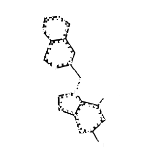 CCOC(=O)c1cc(Cl)cc2ccn(Cc3cc4ccccc4cn3)c12